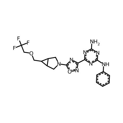 Nc1nc(Nc2ccccc2)nc(-c2noc(N3CC4C(COCC(F)(F)F)C4C3)n2)n1